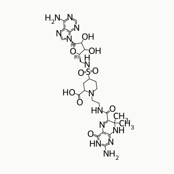 CC1(C)Nc2nc(N)[nH]c(=O)c2N=C1C(=O)NCCN1CCC(S(=O)(=O)NC[C@H]2O[C@@H](n3cnc4c(N)ncnc43)C(O)C2O)CC1C(=O)O